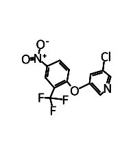 O=[N+]([O-])c1ccc(Oc2cncc(Cl)c2)c(C(F)(F)F)c1